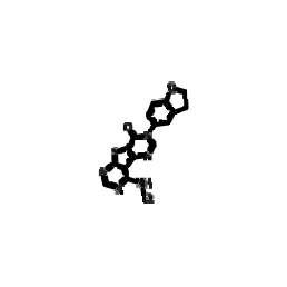 CCNc1ncnc2sc3c(=O)n(-c4ccc5c(c4)CCO5)cnc3c12